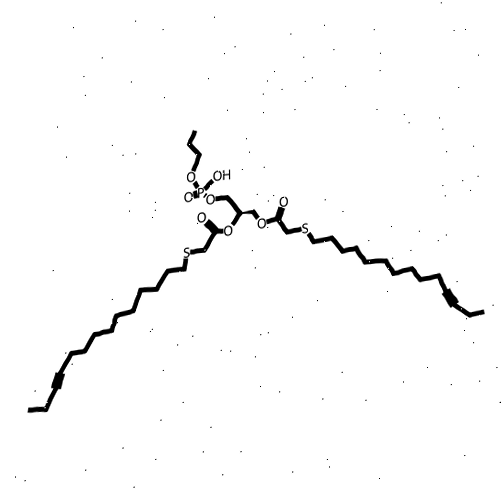 CCC#CCCCCCCCCCCSCC(=O)OC[C@H](COP(=O)(O)OCCC)OC(=O)CSCCCCCCCCCCC#CCC